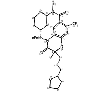 CCCCCN1C(=O)C(C)(COCC2CCCO2)Oc2cc(C(F)(F)F)c(C(=O)N(C(C)C)C3CCCCC3)cc21